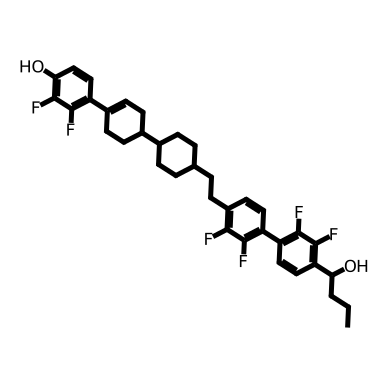 CCCC(O)c1ccc(-c2ccc(CCC3CCC(C4CC=C(c5ccc(O)c(F)c5F)CC4)CC3)c(F)c2F)c(F)c1F